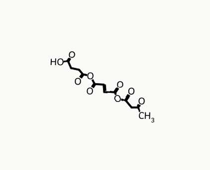 CC(=O)CC(=O)OC(=O)/C=C/C(=O)OC(=O)CCC(=O)O